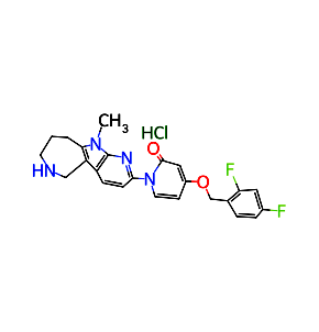 Cl.Cn1c2c(c3ccc(-n4ccc(OCc5ccc(F)cc5F)cc4=O)nc31)CNCCC2